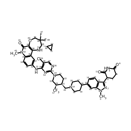 Cn1nc(C2CCC(=O)NC2=O)c2ccc(C3CCN(C[C@@H]4CCN(c5ncc(Cl)c(Nc6ccc7c(c6)c6c(c(=O)n7C)OCC(F)(F)[C@H](C7CC7)N6)n5)C[C@@H]4C(F)(F)F)CC3)cc21